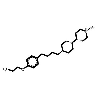 CCC[Si@H]1CC[C@H]([C@H]2CC[C@H](CCCCc3ccc(OCCC(F)(F)F)cc3)CC2)CC1